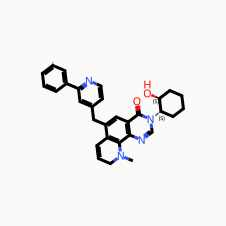 CN1CC=Cc2c(Cc3ccnc(-c4c[c]ccc4)c3)cc3c(=O)n([C@H]4CCCC[C@@H]4O)cnc3c21